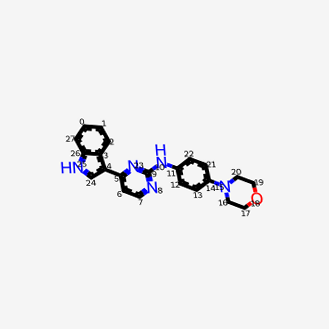 c1ccc2c(-c3ccnc(Nc4ccc(N5CCOCC5)cc4)n3)c[nH]c2c1